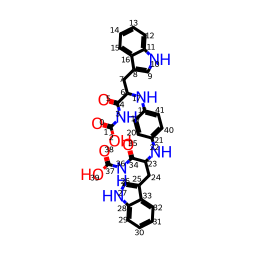 O=C(O)NC(=O)C(Cc1c[nH]c2ccccc12)Nc1ccc(NC(Cc2c[nH]c3ccccc23)C(=O)NC(=O)O)cc1